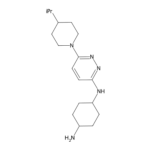 CC(C)C1CCN(c2ccc(NC3CCC(N)CC3)nn2)CC1